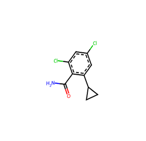 NC(=O)c1c(Cl)cc(Cl)cc1C1CC1